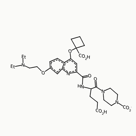 CCOC(=O)N1CCN(C(=O)C(CCC(=O)O)NC(=O)c2cc(OC3(C(=O)O)CCC3)c3ccc(OCCN(CC)CC)cc3n2)CC1